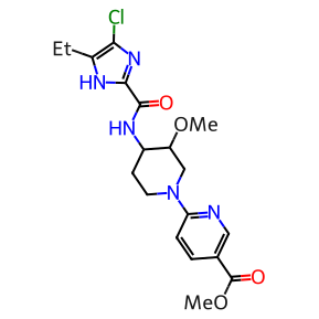 CCc1[nH]c(C(=O)NC2CCN(c3ccc(C(=O)OC)cn3)CC2OC)nc1Cl